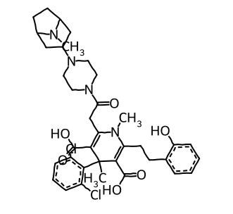 CN1C(CCc2ccccc2O)=C(C(=O)O)C(C)(c2c(Cl)cccc2Cl)C(C(=O)O)=C1CC(=O)N1CCN(C2CC3CCC(C2)N3C)CC1